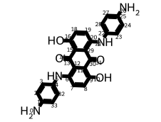 Nc1ccc(Nc2ccc(O)c3c2C(=O)c2c(O)ccc(Nc4ccc(N)cc4)c2C3=O)cc1